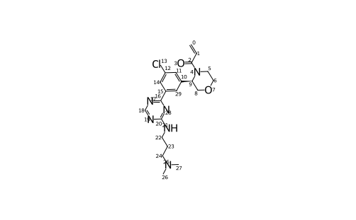 C=CC(=O)N1CCOC[C@H]1c1cc(Cl)cc(-c2ncnc(NCCCN(C)C)n2)c1